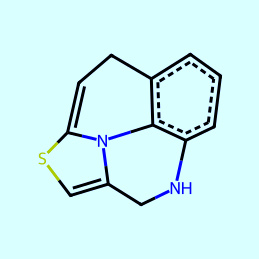 C1=C2CNc3cccc4c3N2C(=CC4)S1